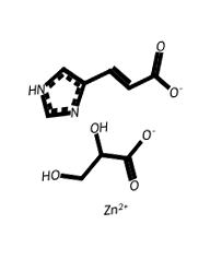 O=C([O-])C(O)CO.O=C([O-])C=Cc1c[nH]cn1.[Zn+2]